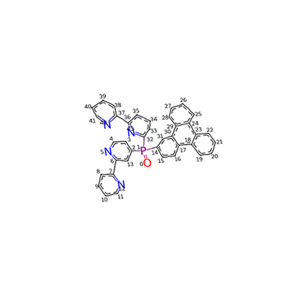 O=P(c1ccnc(-c2ccccn2)c1)(c1ccc2c3ccccc3c3ccccc3c2c1)c1cccc(-c2ccccn2)n1